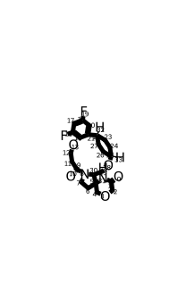 O=C1COCC2(CCN3C(=O)CCOc4c(F)cc(F)cc4[C@H]4CC[C@H](CC4)OCC32)N1